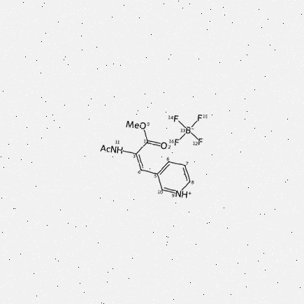 COC(=O)/C(=C\c1ccc[nH+]c1)NC(C)=O.F[B-](F)(F)F